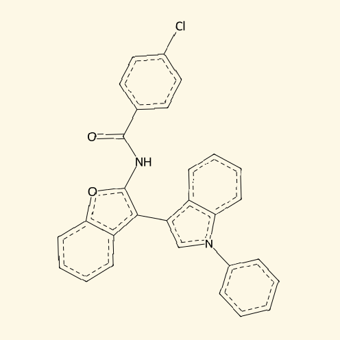 O=C(Nc1oc2ccccc2c1-c1cn(-c2ccccc2)c2ccccc12)c1ccc(Cl)cc1